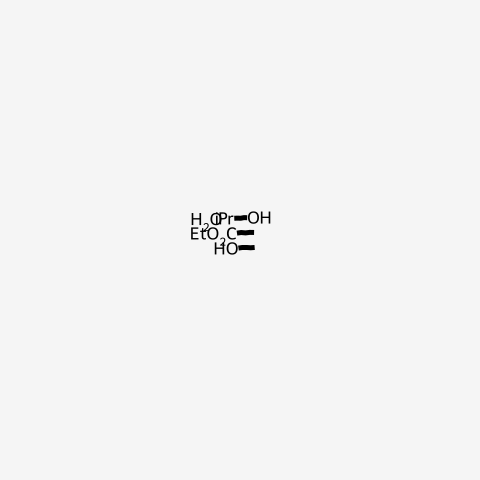 CC(C)O.CCOC(C)=O.CO.O